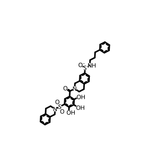 O=C(c1cc(S(=O)(=O)N2CCc3ccccc3C2)c(O)c(O)c1O)N1CCc2ccc([S+]([O-])NCCCc3ccccc3)cc2C1